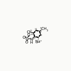 Cc1ccc(NS(=O)(=O)[O-])c(Cl)c1.[Na+]